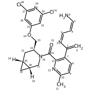 C=C(/N=C\C=C/N)c1ccc(C)nc1C(=O)N1C[C@@H]2C[C@@H]2C[C@H]1COc1cc(Cl)nc(Cl)c1